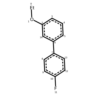 CCOc1cc[c]c(-c2ccc(F)cc2)c1